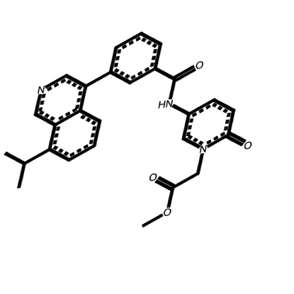 COC(=O)Cn1cc(NC(=O)c2cccc(-c3cncc4c(C(C)C)cccc34)c2)ccc1=O